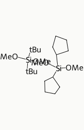 CO[Si](OC)(C(C)(C)C)C(C)(C)C.CO[Si](OC)(C1CCCC1)C1CCCC1